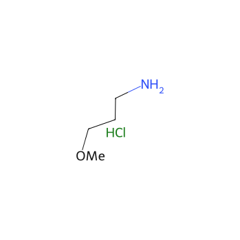 COCCCN.Cl